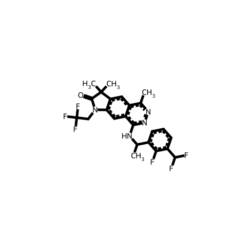 Cc1nnc(NC(C)c2cccc(C(F)F)c2F)c2cc3c(cc12)C(C)(C)C(=O)N3CC(F)(F)F